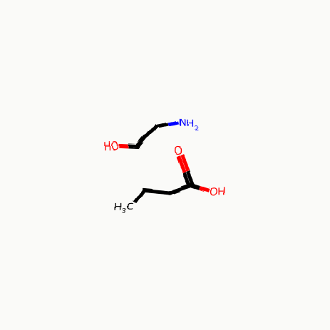 CCCC(=O)O.NCCO